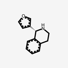 c1ccc2c(c1)CCN[C@H]2c1ccoc1